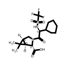 CC1(C)[C@@H]2[C@@H](C(=O)O)N(C(=O)[C@@H](NS(=O)(=O)C(F)(F)F)C3CCCCC3)C[C@@H]21